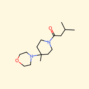 CC(C)CC(=O)N1CCC(C)(N2CCOCC2)CC1